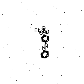 CCOS(=O)(=O)c1ccc(N=Nc2ccccc2)cc1